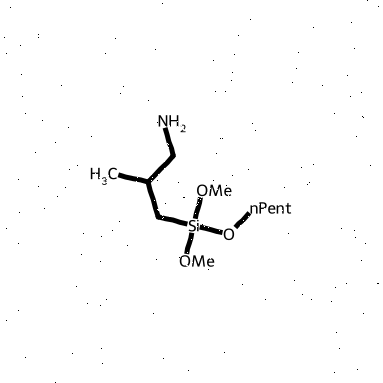 CCCCCO[Si](CC(C)CN)(OC)OC